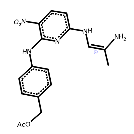 CC(=O)OCc1ccc(Nc2nc(N/C=C(/C)N)ccc2[N+](=O)[O-])cc1